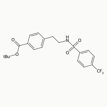 CC(C)(C)OC(=O)c1ccc(CCNS(=O)(=O)c2ccc(C(F)(F)F)cc2)cc1